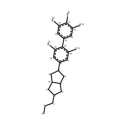 CCCC1CC2CC(c3cc(F)c(-c4cc(F)c(F)c(F)c4)c(F)c3)CC2C1